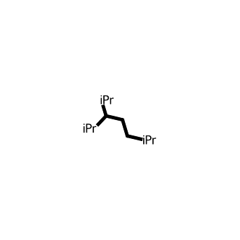 CC(C)CCC(C(C)C)C(C)C